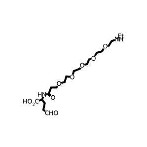 CCNCCOCCOCCOCCOCCOCCC(=O)NC(CCC=O)C(=O)O